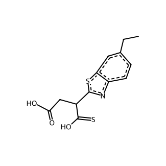 CCc1ccc2nc(C(CC(=O)O)C(O)=S)sc2c1